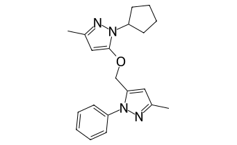 Cc1cc(COc2cc(C)nn2C2CCCC2)n(-c2ccccc2)n1